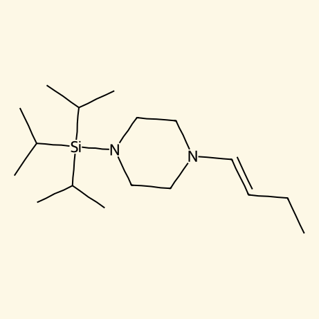 CC/C=C/N1CCN([Si](C(C)C)(C(C)C)C(C)C)CC1